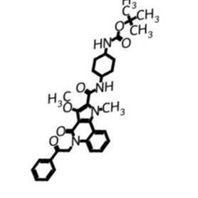 COc1c(C(=O)NC2CCC(NC(=O)OC(C)(C)C)CC2)n(C)c2c1c(=O)n(CC(=O)c1ccccc1)c1ccccc21